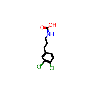 O=C(O)NCCCc1ccc(Cl)c(Cl)c1